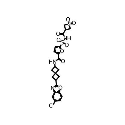 O=C(NC1CC2(C1)CC(c1nc3cc(Cl)ccc3o1)C2)c1ccc(S(=O)(=O)NC(=O)C2CS(=O)(=O)C2)o1